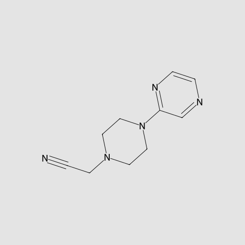 N#CCN1CCN(c2cnccn2)CC1